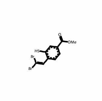 COC(=O)c1ccc(C=C(Br)Br)c(S)c1